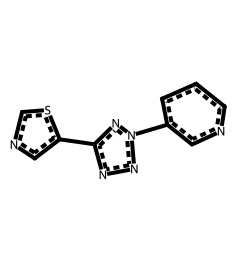 c1cncc(-n2nnc(-c3cncs3)n2)c1